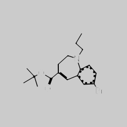 CCCN1CCC(C(=O)OC(C)(C)C)=Cc2cc(Br)ccc21